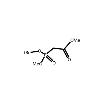 COC(=O)CP(=O)(OC)OC(C)(C)C